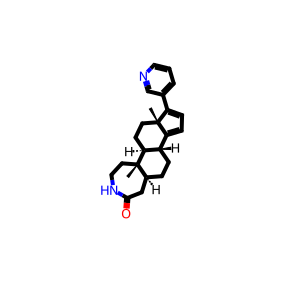 C[C@]12CC[C@H]3[C@@H](CC[C@H]4CC(=O)NCC[C@@]43C)C1=CC=C2c1cccnc1